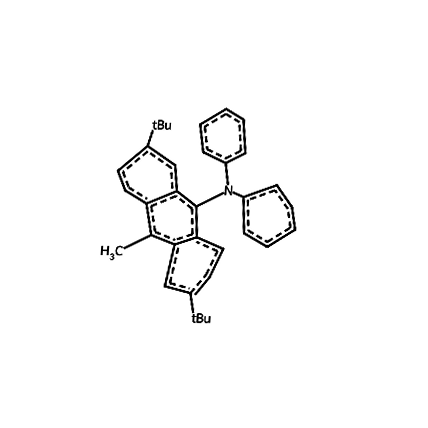 Cc1c2cc(C(C)(C)C)ccc2c(N(c2ccccc2)c2ccccc2)c2cc(C(C)(C)C)ccc12